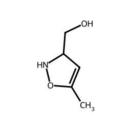 CC1=CC(CO)NO1